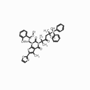 CCO[C@@H](Cn1c(=O)n(C(C)(C)C(=O)CC(C)(C)[Si](O)(c2ccccc2)c2ccccc2)c(=O)c2c(C)c(-c3ncco3)sc21)c1ccccc1OC